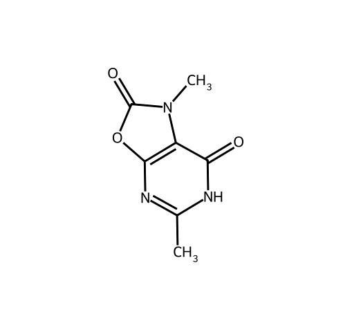 Cc1nc2oc(=O)n(C)c2c(=O)[nH]1